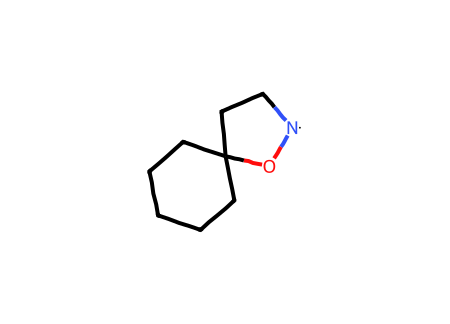 C1CCC2(CC1)CC[N]O2